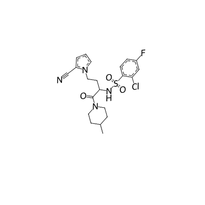 CC1CCN(C(=O)C(CCn2cccc2C#N)NS(=O)(=O)c2ccc(F)cc2Cl)CC1